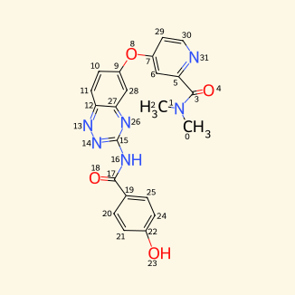 CN(C)C(=O)c1cc(Oc2ccc3nnc(NC(=O)c4ccc(O)cc4)nc3c2)ccn1